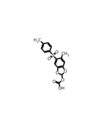 Cc1ccc(S(=O)(=O)c2cc3c(cc2C)OC(OC(=O)O)O3)cc1